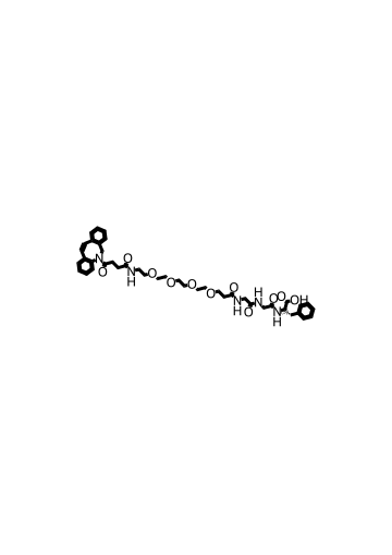 O=C(CCC(=O)N1Cc2ccccc2C#Cc2ccccc21)NCCOCCOCCOCCOCCC(=O)NCC(=O)NCC(=O)N[C@@H](Cc1ccccc1)C(=O)O